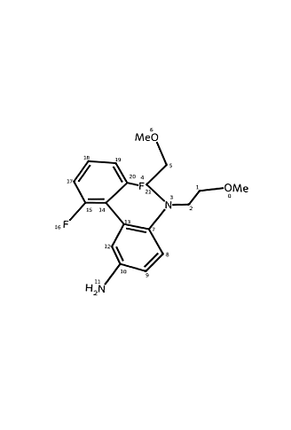 COCCN(CCOC)c1ccc(N)cc1-c1c(F)cccc1F